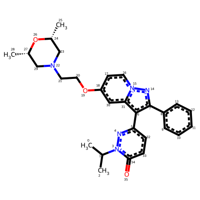 CC(C)n1nc(-c2c(-c3ccccc3)nn3ccc(OCCN4C[C@@H](C)O[C@@H](C)C4)cc23)ccc1=O